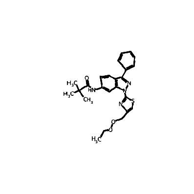 CCOOCc1csc(-n2nc(-c3ccccc3)c3ccc(NC(=O)C(C)(C)C)cc32)n1